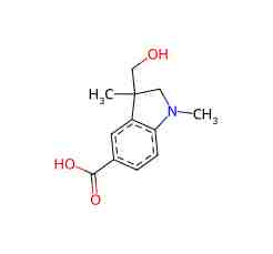 CN1CC(C)(CO)c2cc(C(=O)O)ccc21